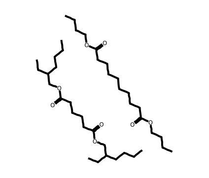 CCCCC(CC)COC(=O)CCCCC(=O)OCC(CC)CCCC.CCCCOC(=O)CCCCCCCCC(=O)OCCCC